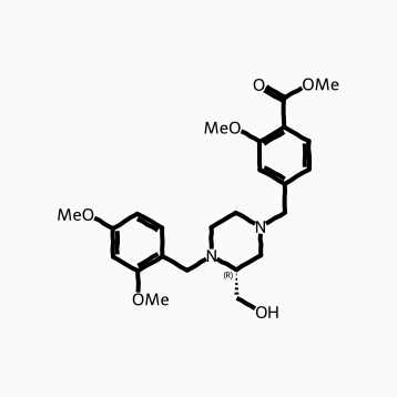 COC(=O)c1ccc(CN2CCN(Cc3ccc(OC)cc3OC)[C@@H](CO)C2)cc1OC